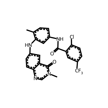 Cc1ccc(NC(=O)c2cc(C(F)(F)F)ccc2Cl)cc1Nc1ccc2ncn(C)c(=O)c2c1